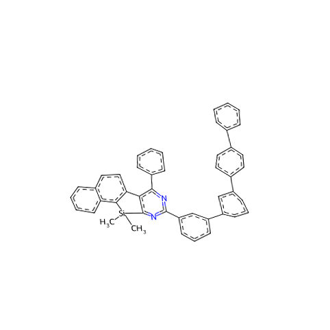 C[Si]1(C)c2nc(-c3cccc(-c4cccc(-c5ccc(-c6ccccc6)cc5)c4)c3)nc(-c3ccccc3)c2-c2ccc3ccccc3c21